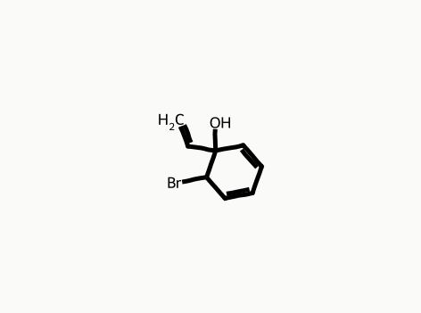 C=CC1(O)C=CC=CC1Br